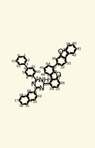 c1ccc(-c2ccc(C3=NC(c4ccc5ccccc5c4)=NC(c4cccc5oc6c(-c7ccc8c(c7)oc7ccccc78)cccc6c45)N3)cc2)cc1